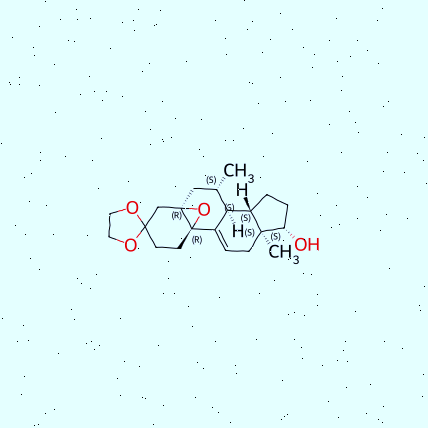 C[C@H]1C[C@@]23CC4(CC[C@@]2(O3)C2=CC[C@]3(C)[C@@H](O)CC[C@H]3[C@@H]21)OCCO4